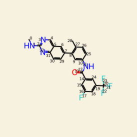 CNc1ncc2cc(-c3cc(NC(=O)c4cc(F)cc(C(F)(F)F)c4)ccc3C)ccc2n1